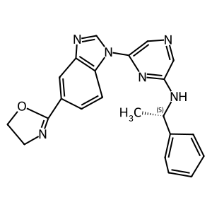 C[C@H](Nc1cncc(-n2cnc3cc(C4=NCCO4)ccc32)n1)c1ccccc1